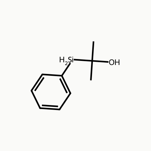 CC(C)(O)[SiH2]c1ccccc1